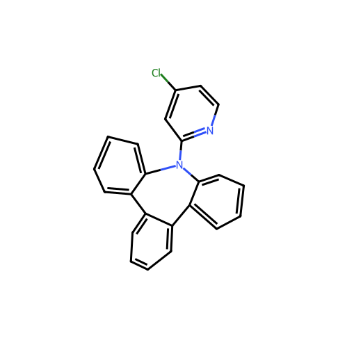 Clc1ccnc(N2c3ccccc3-c3ccccc3-c3ccccc32)c1